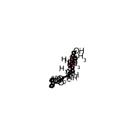 C[C@]1(C(=O)NC(=O)[C@@]2(C)CCC[C@]3(C)c4cc(NC(=O)[C@H](CCCCNC(=O)OCC5c6ccccc6-c6ccccc65)NC(=O)O)ccc4CC[C@@H]23)CCC[C@]2(C)c3cc(O)ccc3CC[C@@H]12